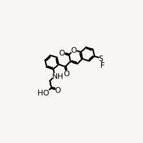 O=C(O)CNc1ccccc1C(=O)c1cc2cc(SF)ccc2oc1=O